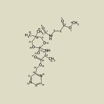 COC(=O)CCNC(=O)[C@@H]1OP(=O)(NC(C)C(=O)OCc2cnccn2)OCC1(C)C